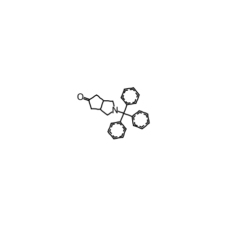 O=C1CC2CN(C(c3ccccc3)(c3ccccc3)c3ccccc3)CC2C1